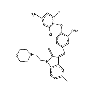 COc1cc(C=C2C(=O)N(CCN3CCOCC3)c3ccc(F)cc32)ccc1Oc1c(Cl)cc([N+](=O)[O-])cc1Cl